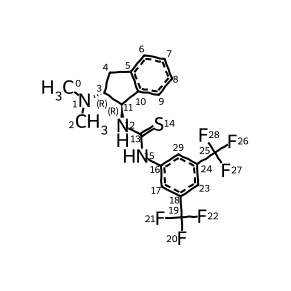 CN(C)[C@@H]1Cc2ccccc2[C@H]1NC(=S)Nc1cc(C(F)(F)F)cc(C(F)(F)F)c1